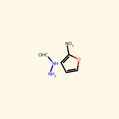 NNC=O.O=[N+]([O-])c1ccco1